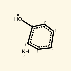 Oc1cc[c]cc1.[KH]